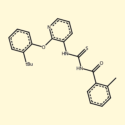 Cc1ccccc1C(=O)NC(=S)Nc1cccnc1Oc1ccccc1C(C)(C)C